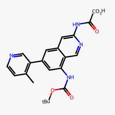 Cc1ccncc1-c1cc(NC(=O)OC(C)(C)C)c2cnc(NC(=O)C(=O)O)cc2c1